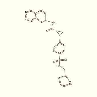 O=C(Nc1ccc2cnccc2c1)[C@@H]1C[C@H]1c1ccc(S(=O)(=O)NCc2cccnc2)cc1